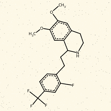 COc1cc2c(cc1OC)C(CCc1ccc(C(F)(F)F)cc1F)NCC2